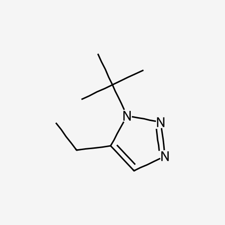 CCc1cnnn1C(C)(C)C